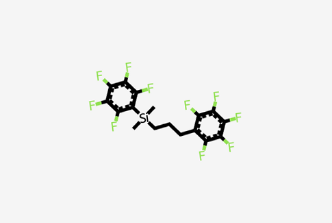 C[Si](C)(CCCc1c(F)c(F)c(F)c(F)c1F)c1c(F)c(F)c(F)c(F)c1F